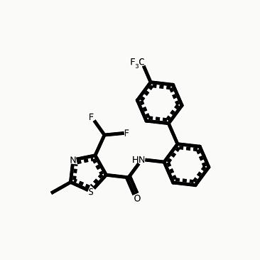 Cc1nc(C(F)F)c(C(=O)Nc2ccccc2-c2ccc(C(F)(F)F)cc2)s1